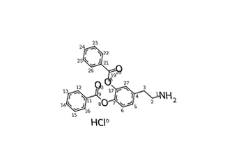 Cl.NCCc1ccc(OC(=O)c2ccccc2)c(OC(=O)c2ccccc2)c1